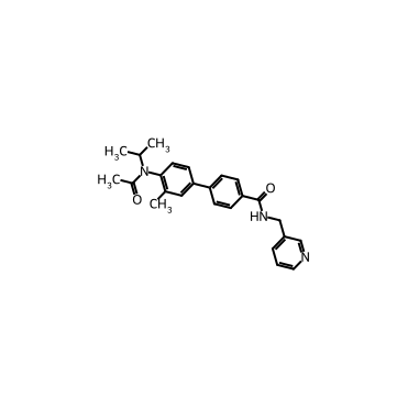 CC(=O)N(c1ccc(-c2ccc(C(=O)NCc3cccnc3)cc2)cc1C)C(C)C